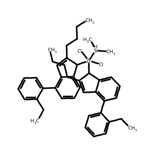 CCCCC1=Cc2c(-c3ccccc3CC)cccc2[CH]1[Zr]([Cl])([Cl])([CH]1C(CCCC)=Cc2c(-c3ccccc3CC)cccc21)[SiH](C)C